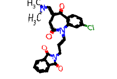 CN(C)/C=C1\CC(=O)N(CCCN2C(=O)c3ccccc3C2=O)c2cc(Cl)ccc2C1=O